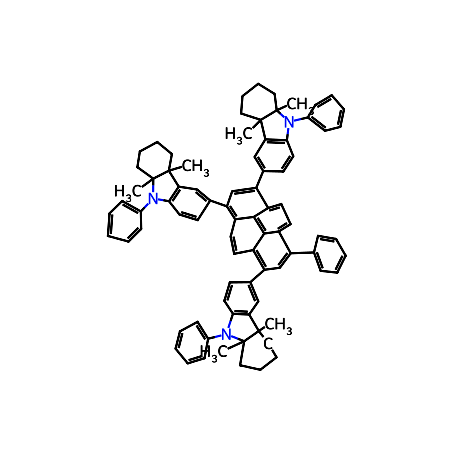 CC12CCCCC1(C)N(c1ccccc1)c1ccc(-c3cc(-c4ccccc4)c4ccc5c(-c6ccc7c(c6)C6(C)CCCCC6(C)N7c6ccccc6)cc(-c6ccc7c(c6)C6(C)CCCCC6(C)N7c6ccccc6)c6ccc3c4c56)cc12